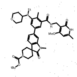 CCN(c1cc(-c2ccc3c(c2)N(C)C(=O)C32CCN(C(=O)OC(C)(C)C)CC2)cc(C(=O)NCc2c(OC)cc(C)[nH]c2=O)c1C)C1CCOCC1